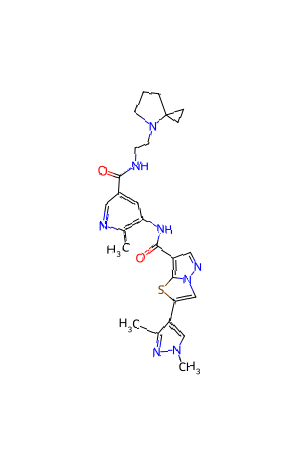 Cc1ncc(C(=O)NCCN2CCCC23CC3)cc1NC(=O)c1cnn2cc(-c3cn(C)nc3C)sc12